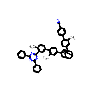 Cc1cc(C23CC4CC(C2)CC(c2ccc(-c5ccc(C)c(-c6nc(-c7ccccc7)nc(-c7ccccc7)n6)c5)c(C)c2)(C4)C3)ccc1-c1ccc(C#N)cc1